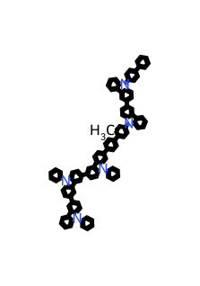 CC1CC(n2c3ccccc3c3cc(-c4ccc5c(c4)c4ccccc4n5-c4ccc(-c5ccccc5)cc4)ccc32)=CC=C1c1ccc(-c2ccc3c4cc(-c5ccc6c(c5)c5cc(-c7ccc8c(c7)c7ccccc7n8-c7ccccc7)ccc5n6-c5ccccc5)ccc4n(-c4ccccc4)c3c2)cc1